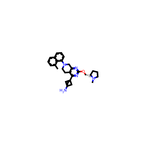 Cc1cccc2cccc(N3CCc4c(nc(OC[C@@H]5CCCN5C)nc4C45CC(N)(C4)C5)C3)c12